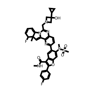 CNC(=O)c1c(-c2ccc(F)cc2)oc2cc(N(C)S(C)(=O)=O)c(-c3ccc4c(n3)C3=CC5(C)C(=CC=CC5F)N3C(CN3CC(O)(C5CC5)C3)=N4)cc12